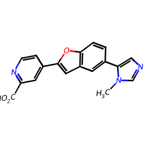 Cn1cncc1-c1ccc2oc(-c3ccnc(C(=O)O)c3)cc2c1